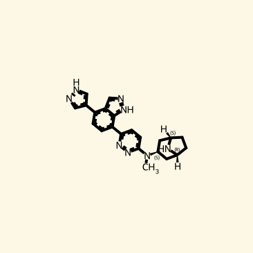 CN(c1ccc(-c2ccc(-c3cn[nH]c3)c3cn[nH]c23)nn1)[C@@H]1C[C@H]2CC[C@@H](C1)N2